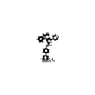 C#CCN(CC(C)(C)O)[C@H]1CC[C@H](CNc2nc(N3CCOCC3)cc(-n3c(C(F)F)nc4ccccc43)n2)CC1